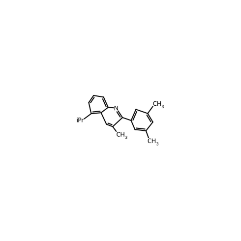 Cc1cc(C)cc(-c2nc3cccc(C(C)C)c3cc2C)c1